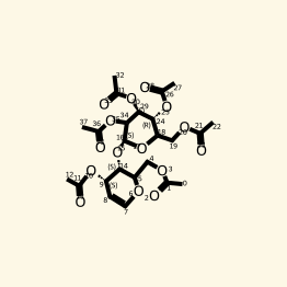 CC(=O)OCC1OC=C[C@H](OC(C)=O)[C@@H]1O[C@@H]1OC(COC(C)=O)[C@@H](OC(C)=O)[C@H](OC(C)=O)C1OC(C)=O